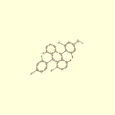 COc1cc(F)c(-c2c3cccc(F)c3c(-c3ccc(F)cc3F)c3c(F)ccc(F)c23)c(F)c1